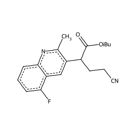 Cc1nc2cccc(F)c2cc1C(CCC#N)C(=O)OCC(C)C